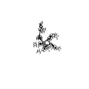 CC(C)(C)OC(=O)CN1CCN(CC(=O)OC(C)(C)C)CCN(C(CCC(=O)NS(=O)(=O)CCCNC(=S)Nc2ccc(N=C=S)cc2)C(=O)OC(C)(C)C)CCN(CC(=O)OC(C)(C)C)CC1